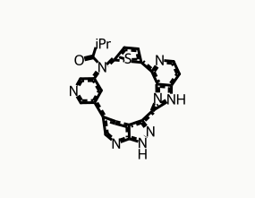 CC(C)C(=O)n1c2cncc(c2)c2cnc3[nH]nc(c4nc5c(ccnc5c5ccc1s5)[nH]4)c3c2